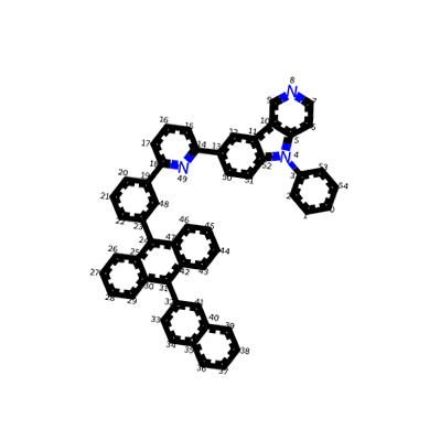 c1ccc(-n2c3ccncc3c3cc(-c4cccc(-c5cccc(-c6c7ccccc7c(-c7ccc8ccccc8c7)c7ccccc67)c5)n4)ccc32)cc1